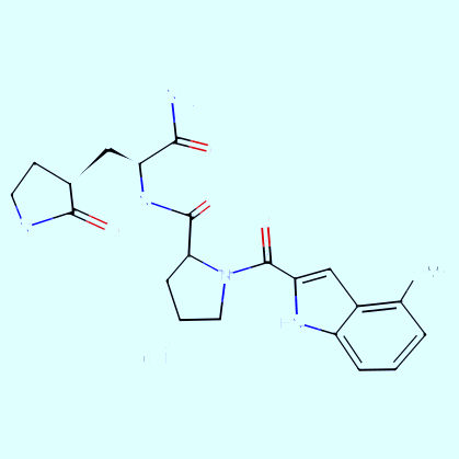 COc1cccc2[nH]c(C(=O)N3C[C@H](C(C)(C)C)CC3C(=O)N[C@@H](C[C@@H]3CCNC3=O)C(N)=O)cc12